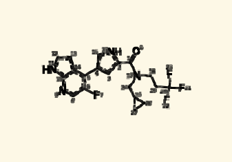 O=C(c1cc(-c2c(F)cnc3[nH]ccc23)c[nH]1)N(CCC(F)(F)F)CC1CC1